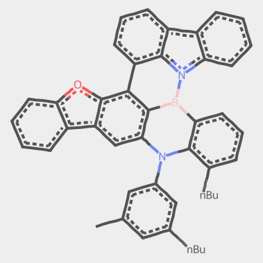 CCCCc1cc(C)cc(N2c3cc4c(oc5ccccc54)c4c3B(c3cccc(CCCC)c32)n2c3ccccc3c3cccc-4c32)c1